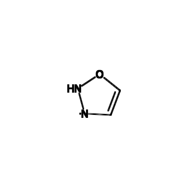 C1=CON[N]1